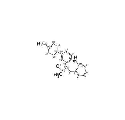 CC(=O)N1Cc2cccnc2Nc2ccc(C3CCN(C)CC3)cc21